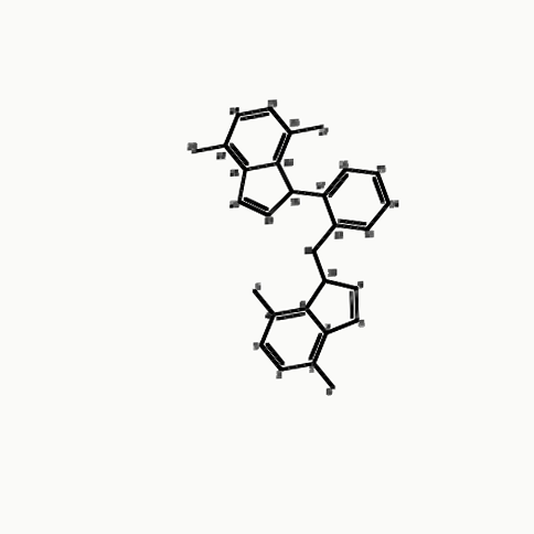 Cc1ccc(C)c2c1C=CC2Cc1ccccc1C1C=Cc2c(C)ccc(C)c21